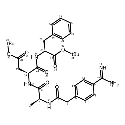 C[C@H](NC(=O)Cc1ccc(C(=N)N)cc1)C(=O)N[C@@H](CC(=O)OC(C)(C)C)C(=O)N[C@@H](Cc1ccccc1)C(=O)OC(C)(C)C